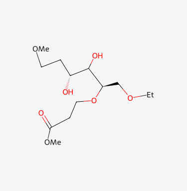 CCOC[C@@H](OCCC(=O)OC)C(O)[C@H](O)CCOC